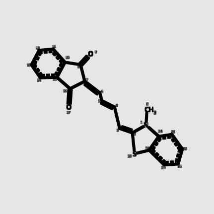 CN1/C(=C\C=C\C=C2C(=O)c3ccccc3C2=O)Sc2ccccc21